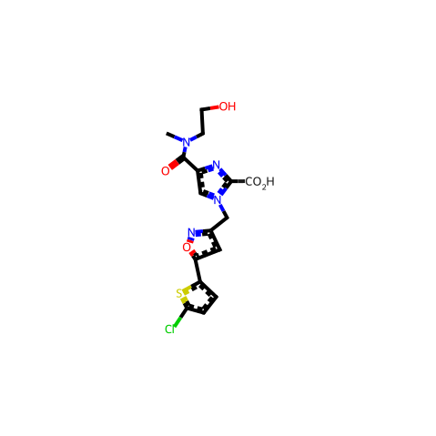 CN(CCO)C(=O)c1cn(Cc2cc(-c3ccc(Cl)s3)on2)c(C(=O)O)n1